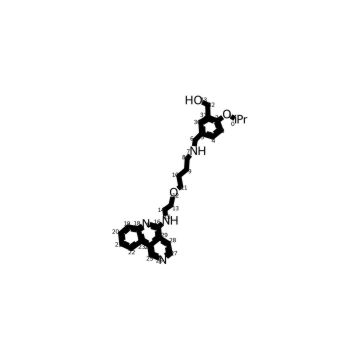 CC(C)Oc1ccc(CNCCCCOCCNc2nc3ccccc3c3cnccc23)cc1CO